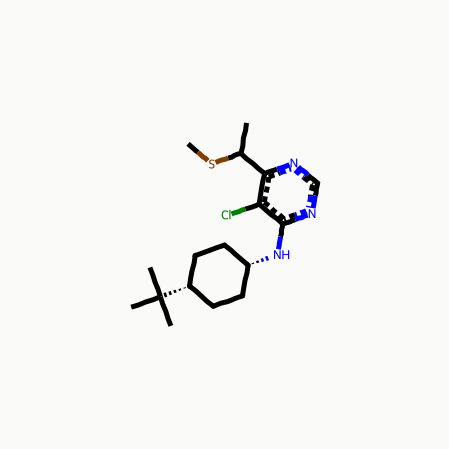 CSC(C)c1ncnc(N[C@H]2CC[C@@H](C(C)(C)C)CC2)c1Cl